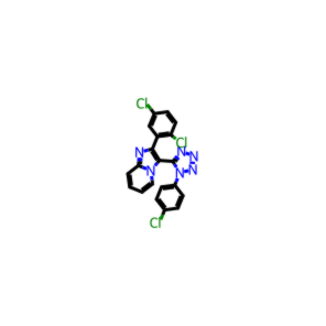 Clc1ccc(-n2nnnc2-c2c(-c3cc(Cl)ccc3Cl)nc3ccccn23)cc1